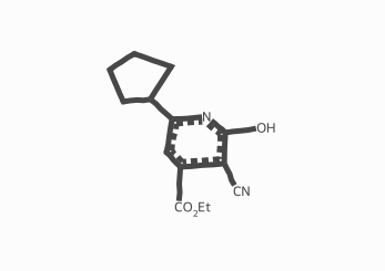 CCOC(=O)c1cc(C2CCCC2)nc(O)c1C#N